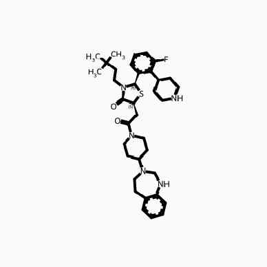 CC(C)(C)CCN1C(=O)[C@H](CC(=O)N2CCC(N3CCc4ccccc4NC3)CC2)S[C@@H]1c1cccc(F)c1C1CCNCC1